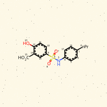 CCCc1ccc(NS(=O)(=O)c2ccc(O)c(C(=O)O)c2)cc1